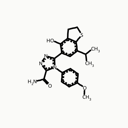 COc1ccc(-n2c(C(N)=O)nnc2-c2cc(C(C)C)c3c(c2O)CCS3)cc1